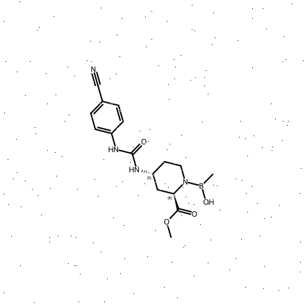 COC(=O)[C@H]1C[C@H](NC(=O)Nc2ccc(C#N)cc2)CCN1B(C)O